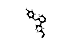 C=Cc1nccc(-c2cccnc2Oc2ccc(C)cc2)n1